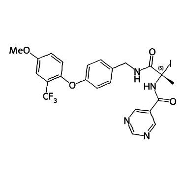 COc1ccc(Oc2ccc(CNC(=O)[C@](C)(I)NC(=O)c3cncnc3)cc2)c(C(F)(F)F)c1